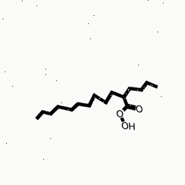 CCCCCCCCCCC(CCCC)C(=O)OO